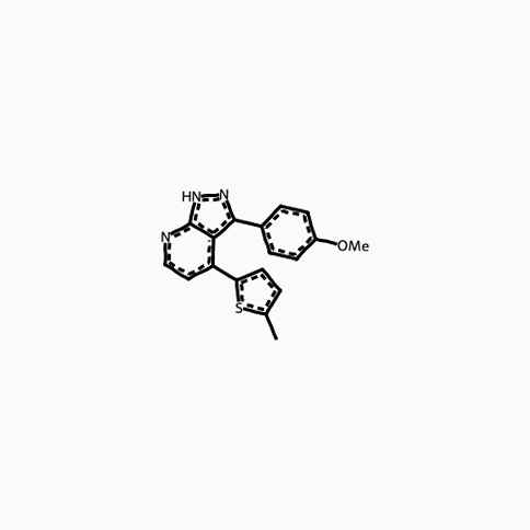 COc1ccc(-c2n[nH]c3nccc(-c4ccc(C)s4)c23)cc1